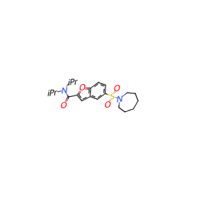 CC(C)N(C(=O)c1cc2cc(S(=O)(=O)N3CCCCCC3)ccc2o1)C(C)C